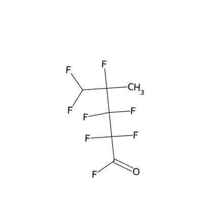 CC(F)(C(F)F)C(F)(F)C(F)(F)C(=O)F